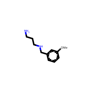 COc1cccc(CNCCCN)c1